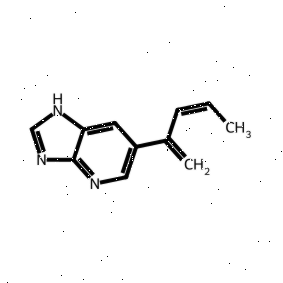 C=C(/C=C\C)c1cnc2nc[nH]c2c1